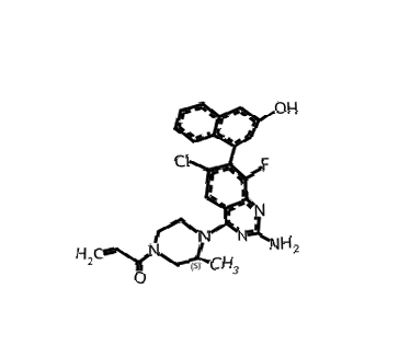 C=CC(=O)N1CCN(c2nc(N)nc3c(F)c(-c4cc(O)cc5ccccc45)c(Cl)cc23)[C@@H](C)C1